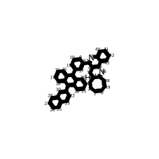 C1=C\CC[C@H]2Cc3c(-c4cccc(-c5c6ccccc6c(-c6ccc7ccccc7c6)c6ccccc56)c4)nc4ccccc4c3N=C2\C=C/1